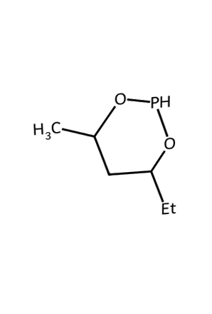 CCC1CC(C)OPO1